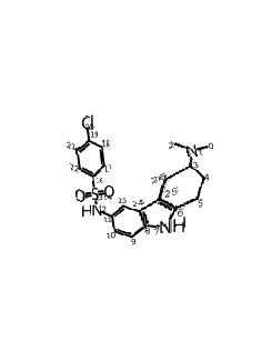 CN(C)C1CCc2[nH]c3ccc(NS(=O)(=O)c4ccc(Cl)cc4)cc3c2C1